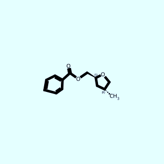 C[C@H]1CO[C@H](COC(=O)c2ccccc2)C1